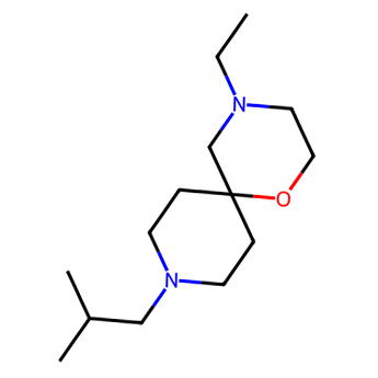 CCN1CCOC2(CCN(CC(C)C)CC2)C1